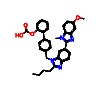 CCCCc1nc2ccc(-c3nc4cc(OC)ccc4n3C)cc2n1Cc1ccc(-c2ccccc2OC(=O)O)cc1